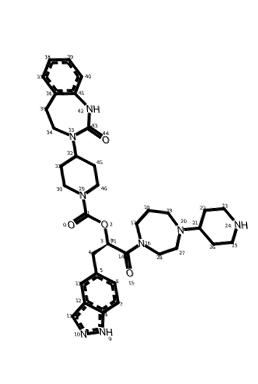 O=C(O[C@H](Cc1ccc2[nH]ncc2c1)C(=O)N1CCCN(C2CCNCC2)CC1)N1CCC(N2CCc3ccccc3NC2=O)CC1